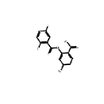 O=C(Cl)C1=CCC(Cl)C=C1OC(=O)c1cc(F)ccc1F